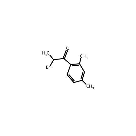 Cc1ccc(C(=O)C(C)Br)c(C)c1